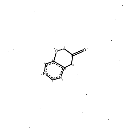 O=C1COc2cncnc2C1